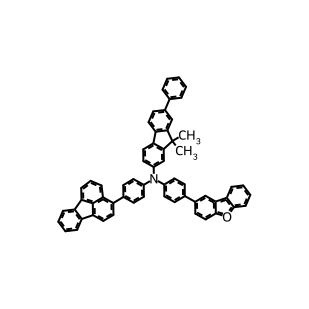 CC1(C)c2cc(-c3ccccc3)ccc2-c2ccc(N(c3ccc(-c4ccc5oc6ccccc6c5c4)cc3)c3ccc(-c4ccc5c6c(cccc46)-c4ccccc4-5)cc3)cc21